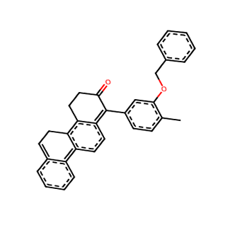 Cc1ccc(C2=c3ccc4c(c3CCC2=O)CC=c2ccccc2=4)cc1OCc1ccccc1